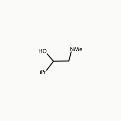 CNCC(O)C(C)C